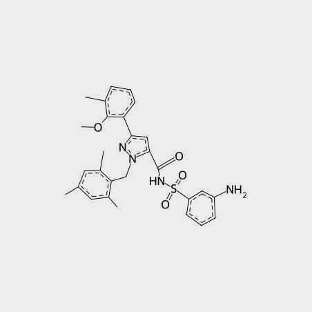 COc1c(C)cccc1-c1cc(C(=O)NS(=O)(=O)c2cccc(N)c2)n(Cc2c(C)cc(C)cc2C)n1